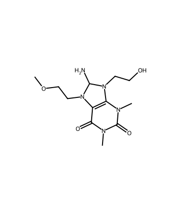 COCCN1c2c(n(C)c(=O)n(C)c2=O)N(CCO)C1N